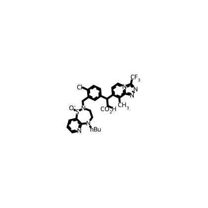 CCCCN1CCN(Cc2cc(C(CC(=O)O)c3ccn4c(C(F)(F)F)nnc4c3C)ccc2Cl)[S+]([O-])c2cccnc21